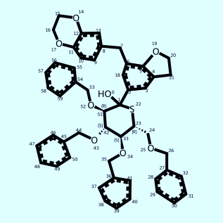 OC1(c2cc3c(c(Cc4ccc5c(c4)OCCO5)c2)OCC3)S[C@H](COCc2ccccc2)[C@@H](OCc2ccccc2)[C@H](OCc2ccccc2)[C@H]1OCc1ccccc1